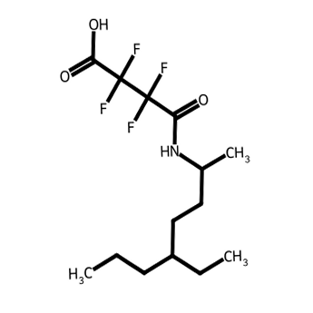 CCCC(CC)CCC(C)NC(=O)C(F)(F)C(F)(F)C(=O)O